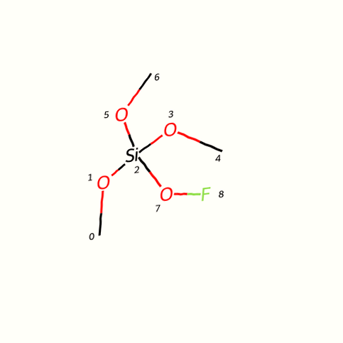 CO[Si](OC)(OC)OF